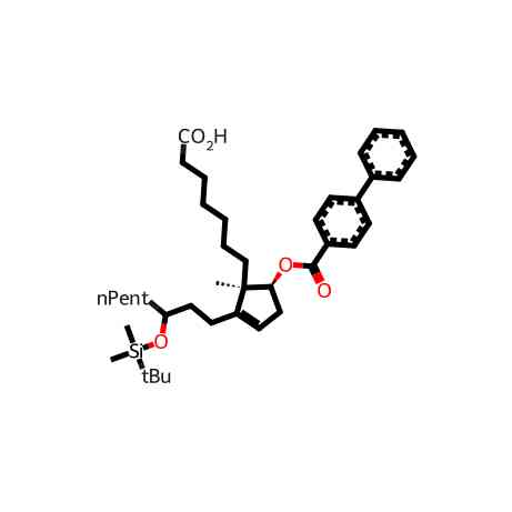 CCCCCC(CCC1=CC[C@H](OC(=O)c2ccc(-c3ccccc3)cc2)[C@]1(C)CCCCCCC(=O)O)O[Si](C)(C)C(C)(C)C